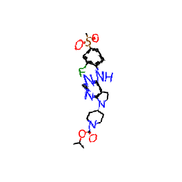 CC(C)OC(=O)N1CCC(N2CCc3c(Nc4ccc(S(C)(=O)=O)cc4F)ncnc32)CC1